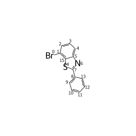 Brc1cccc2nc(-c3ccccc3)sc12